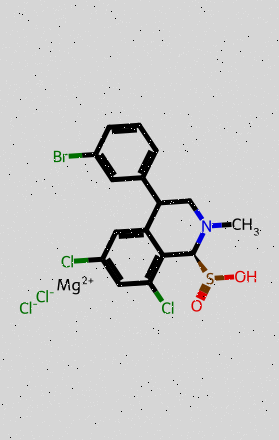 CN1CC(c2cccc(Br)c2)c2cc(Cl)cc(Cl)c2[C@@H]1S(=O)O.[Cl-].[Cl-].[Mg+2]